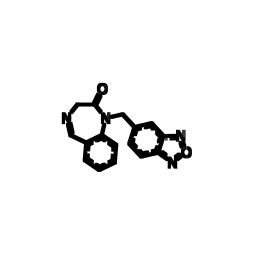 O=C1CN=Cc2ccccc2N1Cc1ccc2nonc2c1